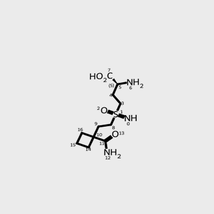 N=S(=O)(CC[C@H](N)C(=O)O)CCC1(C(N)=O)CCC1